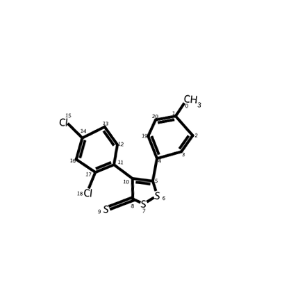 Cc1ccc(-c2ssc(=S)c2-c2ccc(Cl)cc2Cl)cc1